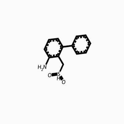 Nc1cccc(-c2ccccc2)c1C[SH](=O)=O